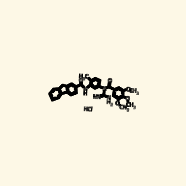 COc1cc(C(=O)N(C(=N)N)c2ccc(C)c(NC(=O)c3ccc4c(c3)Cc3ccccc3-4)c2)cc(OC)c1OC.Cl